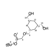 CC(C)(C)OC(=O)COC[C@@H]1C[C@H](CO)C[C@H](CO)C1